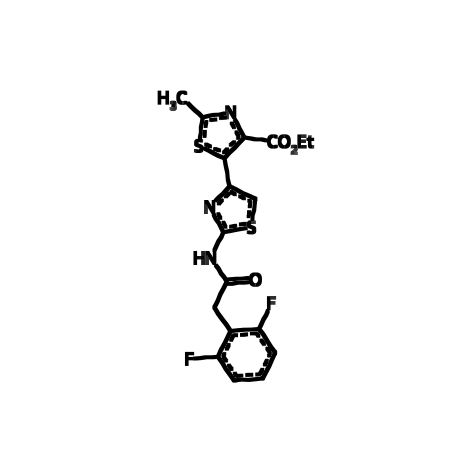 CCOC(=O)c1nc(C)sc1-c1csc(NC(=O)Cc2c(F)cccc2F)n1